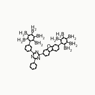 Bc1c(B)c(B)c(-c2cccc(-c3nc(-c4ccccc4)nc(-c4ccc5c(c4)oc4cc(-c6c(B)c(B)c(B)c(B)c6B)ccc45)n3)c2)c(B)c1B